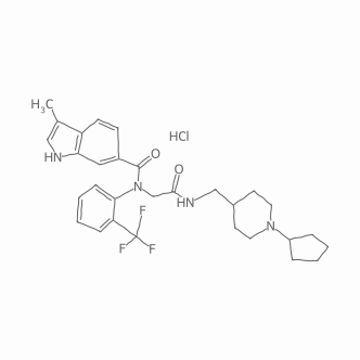 Cc1c[nH]c2cc(C(=O)N(CC(=O)NCC3CCN(C4CCCC4)CC3)c3ccccc3C(F)(F)F)ccc12.Cl